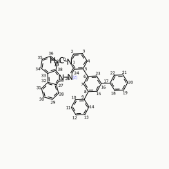 Cn1cccc(-c2cc(-c3ccccc3)cc(-c3ccccc3)c2)/c1=N/n1c2ccccc2c2ccccc21